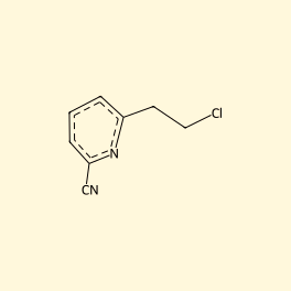 N#Cc1cccc(CCCl)n1